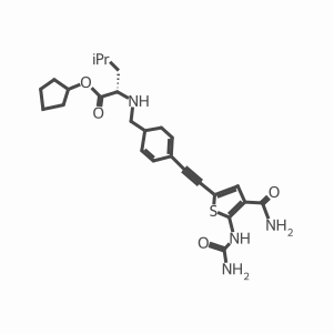 CC(C)C[C@H](NCC1C=CC(C#Cc2cc(C(N)=O)c(NC(N)=O)s2)=CC1)C(=O)OC1CCCC1